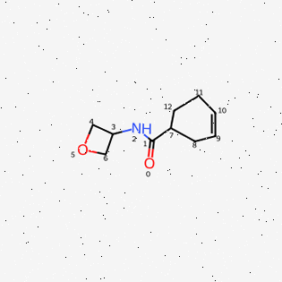 O=C(NC1COC1)C1CC=CCC1